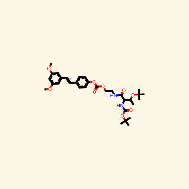 COc1cc(/C=C/c2ccc(OC(=O)OCCNC(=O)C(NC(=O)OC(C)(C)C)C(C)OC(C)(C)C)cc2)cc(OC)c1